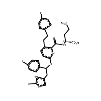 CSCC[C@H](NC(=O)c1nc(OC(Cc2cnc(C)[nH]2)c2ccc(F)cc2)ccc1CCc1ccc(F)cc1)C(=O)O